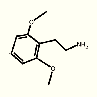 COc1c[c]cc(OC)c1CCN